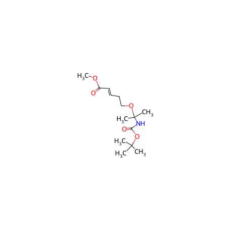 COC(=O)/C=C/CCOC(C)(C)NC(=O)OC(C)(C)C